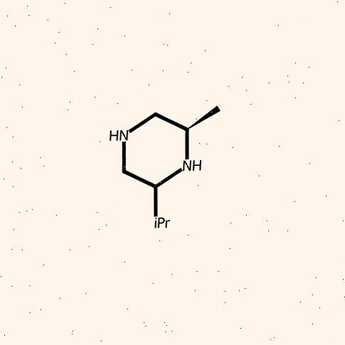 CC(C)C1CNC[C@@H](C)N1